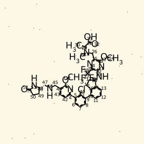 COc1nc(-c2cccc(-c3cccc4c3CC[C@@H]4Nc3nc(OC)c(CN(C)[C@@H](C)C(=O)O)nc3C(F)(F)F)c2Cl)ccc1CNC[C@@H]1CCC(=O)N1